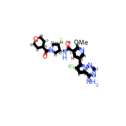 COc1ncc(-c2c(F)cc3c(N)ncnn23)cc1C(=O)N[C@@H]1CN(C(=O)C2CCOCC2)C[C@@H]1F